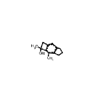 Cc1c2c(cc3c1C(C)(O)C3)CCC2